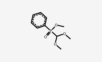 COC(OC)P(=O)(OC)c1ccccc1